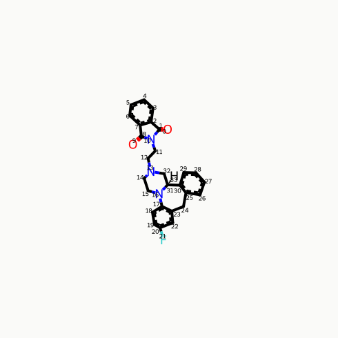 O=C1c2ccccc2C(=O)N1CCN1CCN2c3ccc(F)cc3Cc3ccccc3[C@@H]2C1